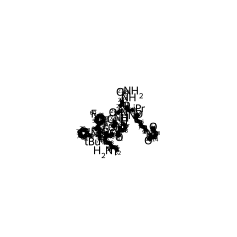 CC(C)C(NC(=O)CCCCCN1C(=O)C=CC1=O)C(=O)N[C@@H](CCCNC(N)=O)C(=O)N[C@H](C)C(=O)N1CCCC1C(=O)OCC(=O)N(CC[C@H](N)CF)[C@@H](c1nc(-c2cc(F)ccc2F)cn1Cc1ccccc1)C(C)(C)C